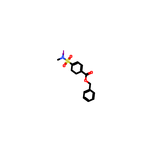 CN(I)S(=O)(=O)C1=CC=C(C(=O)OCc2ccccc2)CC1